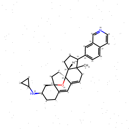 CC12CC=C3C=C4CC[C@@H](NC5CC5)C[C@]45CC[C@]3(O5)[C@@H]1CCC2c1ccc2ccncc2c1